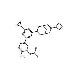 NC1=NC=C(c2cc(C3CC4CC(C3)CN(C3COC3)C4)nc(C3CC3)n2)CN1OC(F)F